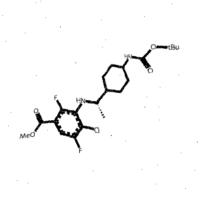 COC(=O)c1cc(F)c(Cl)c(N[C@@H](C)C2CCC(NC(=O)OC(C)(C)C)CC2)c1F